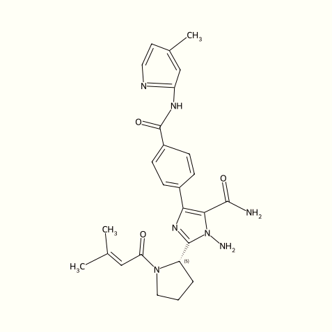 CC(C)=CC(=O)N1CCC[C@H]1c1nc(-c2ccc(C(=O)Nc3cc(C)ccn3)cc2)c(C(N)=O)n1N